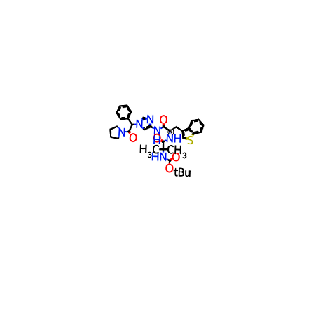 CC(C)(C)OC(=O)NC(C)(C)C(=O)N[C@H](Cc1csc2ccccc12)C(=O)Nc1cn(C(C(=O)N2CCCC2)c2ccccc2)cn1